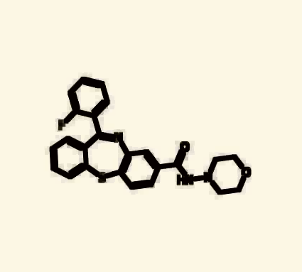 O=C(NN1CCOCC1)c1ccc2c(c1)N=C(c1ccccc1F)c1ccccc1S2